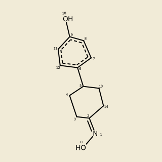 ON=C1CCC(c2ccc(O)cc2)CC1